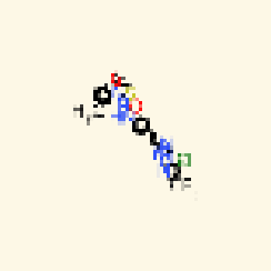 Cc1ccc(C(C)C)c(N2C(=O)CSC2=NC(=O)Nc2ccc(C=Cc3ncn(-c4ncc(C(F)(F)F)cc4Cl)n3)cc2)c1